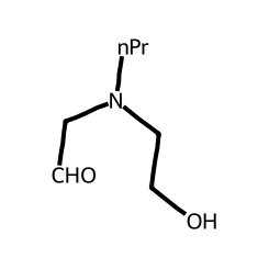 CCCN(CC=O)CCO